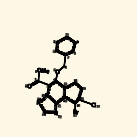 COC(=O)c1c(OCc2ccccc2)c2ccc(Cl)c(Br)c2c2ncnn12